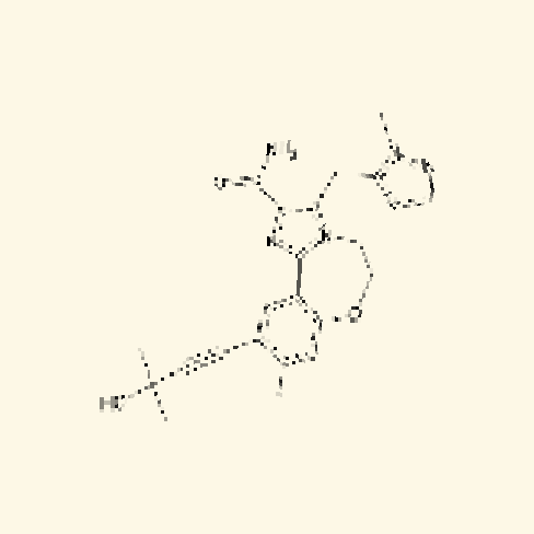 Cn1nccc1Cc1c(C(N)=O)nc2n1CCOc1cc(F)c(C#CC(C)(C)O)cc1-2